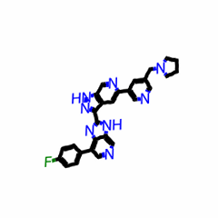 Fc1ccc(-c2cncc3[nH]c(-c4n[nH]c5cnc(-c6cncc(CN7CCCC7)c6)cc45)nc23)cc1